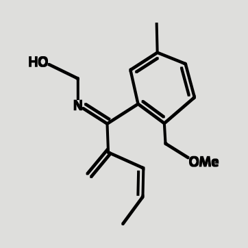 C=C(/C=C\C)/C(=N/CO)c1cc(C)ccc1COC